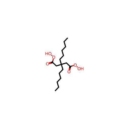 CCCCCCC(CCCCCC)(CC(=O)OO)CC(=O)OO